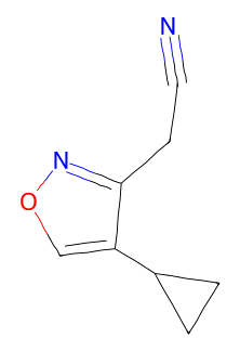 N#CCc1nocc1C1CC1